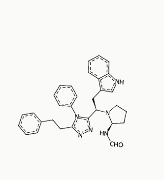 O=[C]N[C@@H]1CCCN1[C@H](Cc1c[nH]c2ccccc12)c1nnc(CCc2ccccc2)n1-c1ccccc1